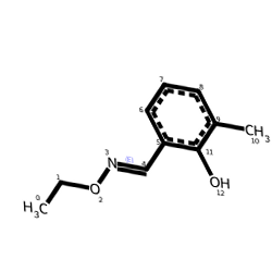 CCO/N=C/c1cccc(C)c1O